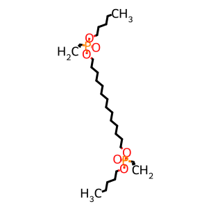 C=CP(=O)(OCCCCC)OCCCCCCCCCCCCCCOP(=O)(C=C)OCCCCC